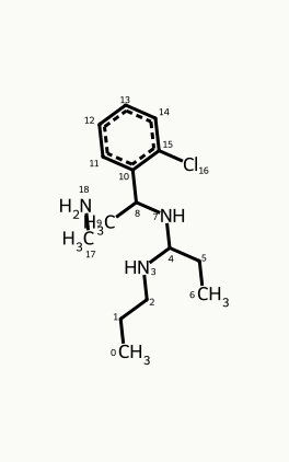 CCCNC(CC)NC(C)c1ccccc1Cl.CN